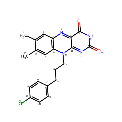 Cc1cc2nc3c(=O)[nH]c(=O)nc-3n(CCCc3ccc(Cl)cc3)c2cc1C